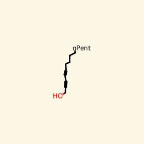 CCCCCCCCCC#CC#CCO